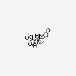 COc1ccc2c3c([nH]c2c1)[C@@H]1C[C@@H]2C(OC(C)=O)=COC(C)[C@H]2CN1CC3